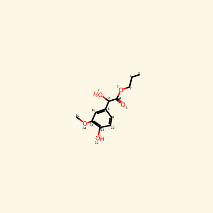 CCCOC(=O)C(O)c1ccc(O)c(OC)c1